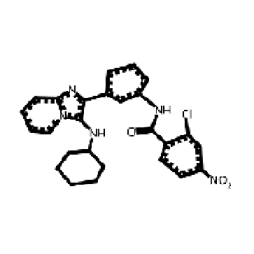 O=C(Nc1cccc(-c2nc3ccccn3c2NC2CCCCC2)c1)c1ccc([N+](=O)[O-])cc1Cl